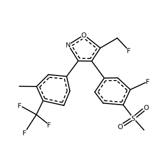 Cc1cc(-c2noc(CF)c2-c2ccc(S(C)(=O)=O)c(F)c2)ccc1C(F)(F)F